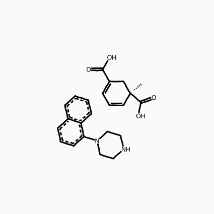 C[C@]1(C(=O)O)C=CC=C(C(=O)O)C1.c1ccc2c(N3CCNCC3)cccc2c1